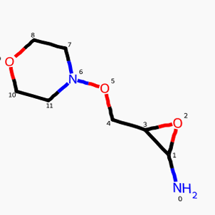 NC1OC1CON1CCOCC1